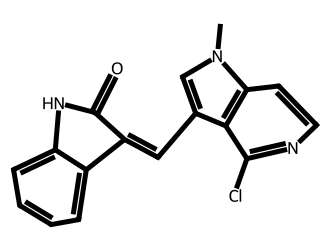 Cn1cc(C=C2C(=O)Nc3ccccc32)c2c(Cl)nccc21